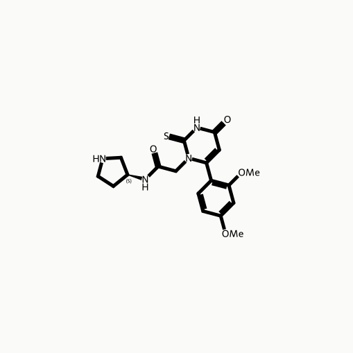 COc1ccc(-c2cc(=O)[nH]c(=S)n2CC(=O)N[C@H]2CCNC2)c(OC)c1